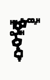 CN1CCN(c2ccc(C(=O)Nc3n[nH]c4sc(C(=O)O)cc34)cc2)CC1